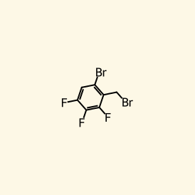 Fc1cc(Br)c(CBr)c(F)c1F